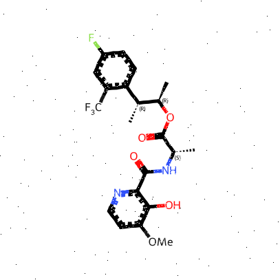 COc1ccnc(C(=O)N[C@@H](C)C(=O)O[C@H](C)[C@H](C)c2ccc(F)cc2C(F)(F)F)c1O